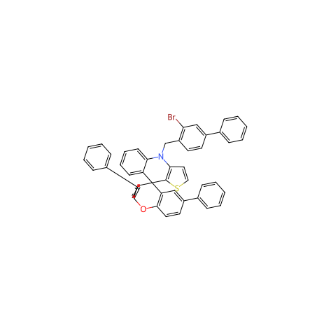 Brc1cc(-c2ccccc2)ccc1CN1c2ccccc2C2(c3cc(-c4ccccc4)ccc3Oc3ccc(-c4ccccc4)cc32)c2sccc21